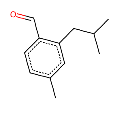 Cc1ccc(C=O)c(CC(C)C)c1